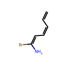 C=C/C=C\C=C(/N)Br